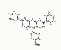 CC(C)(C)c1ccc(-c2c3ccc(-c4cccnc4)cc3cc3cc(-c4cccnc4)ccc23)cc1